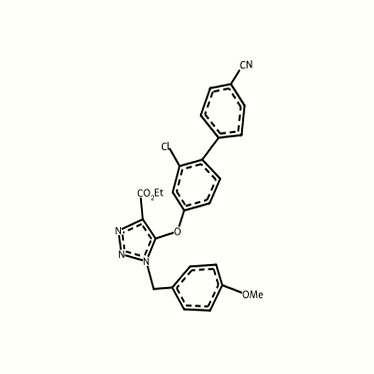 CCOC(=O)c1nnn(Cc2ccc(OC)cc2)c1Oc1ccc(-c2ccc(C#N)cc2)c(Cl)c1